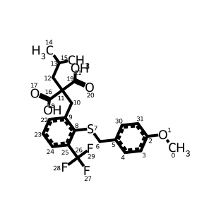 COc1ccc(CSc2c(CC(CC(C)C)(C(=O)O)C(=O)O)cccc2C(F)(F)F)cc1